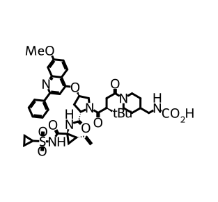 C=C[C@@H]1C[C@]1(NC(=O)[C@@H]1C[C@@H](Oc2cc(-c3ccccc3)nc3cc(OC)ccc23)CN1C(=O)[C@@H](CC(=O)N1CCC(CNC(=O)O)CC1)C(C)(C)C)C(=O)NS(=O)(=O)C1CC1